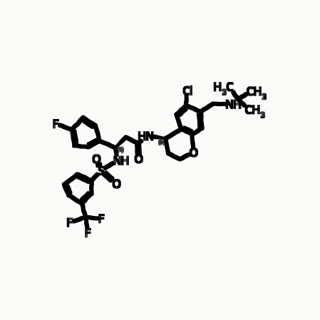 CC(C)(C)NCc1cc2c(cc1Cl)[C@H](NC(=O)C[C@@H](NS(=O)(=O)c1cccc(C(F)(F)F)c1)c1ccc(F)cc1)CCO2